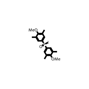 COc1c(C)cc(P(=O)(I)c2cc(C)c(OC)c(C)c2)cc1C